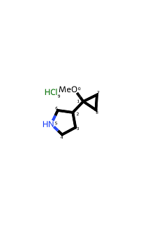 COC1(C2CCNC2)CC1.Cl